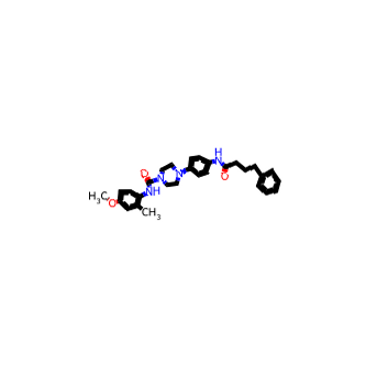 COc1ccc(NC(=O)N2CCN(c3ccc(NC(=O)CCCc4ccccc4)cc3)CC2)c(C)c1